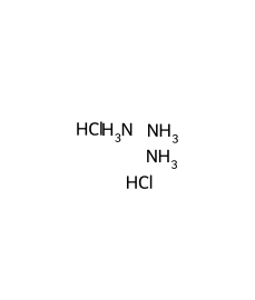 Cl.Cl.N.N.N